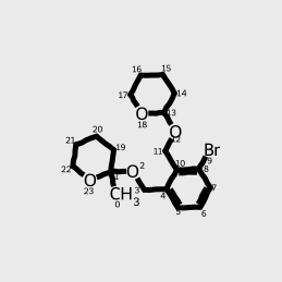 CC1(OCc2cccc(Br)c2COC2CCCCO2)CCCCO1